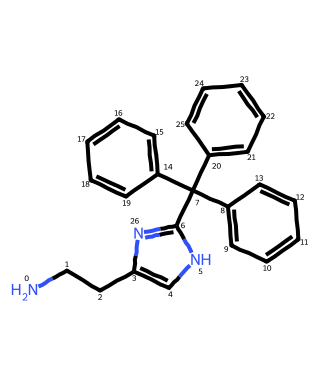 NCCc1c[nH]c(C(c2ccccc2)(c2ccccc2)c2ccccc2)n1